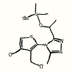 Cc1nnc(C(C)O[Si](C)(C)C(C)(C)C)n1-c1scc(Cl)c1CCl